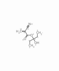 [CH2]CC(O)(CC)OC(=O)C(=C)C#N